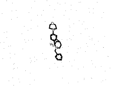 c1ccc(CN2CCC3C[C@@H]2c2ccc(N4CCOCC4)cc23)cc1